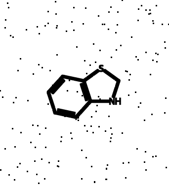 [c]1cccc2c1NCS2